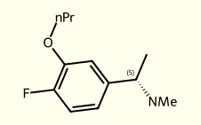 CCCOc1cc([C@H](C)NC)ccc1F